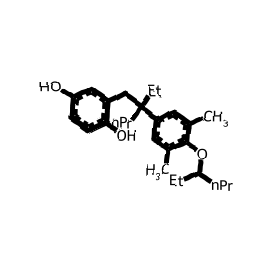 CCCC(CC)Oc1c(C)cc(C(CC)(CCC)Cc2cc(O)ccc2O)cc1C